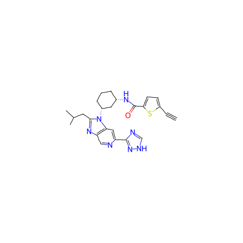 C#Cc1ccc(C(=O)N[C@H]2CCC[C@@H](n3c(CC(C)C)nc4cnc(-c5nc[nH]n5)cc43)C2)s1